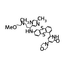 COCCN(C)CCC(Nc1ccc2c(c1)Sc1cccc(-c3cc(N4CCOCC4)cc(=O)[nH]3)c1S2)c1cnc(C)cn1